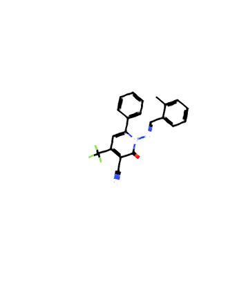 Cc1ccccc1C=Nn1c(-c2ccccc2)cc(C(F)(F)F)c(C#N)c1=O